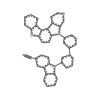 N#Cc1ccc2c(c1)c1ccccc1n2-c1cccc(-c2cccc(-n3c4cnccc4c4c5c(ccc43)oc3ccccc35)c2)c1